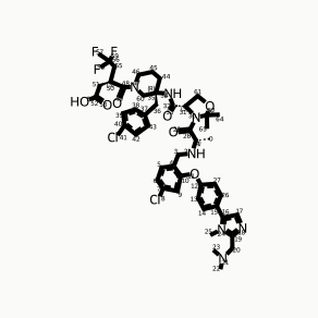 C[C@H](NCc1ccc(Cl)cc1Oc1ccc(-c2cnc(CN(C)C)n2C)cc1)C(=O)N1[C@H](C(=O)N[C@@]2(Cc3ccc(Cl)cc3)CCCN(C(=O)[C@@H](CC(=O)O)CC(F)(F)F)C2)COC1(C)C